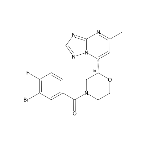 Cc1cc([C@H]2CN(C(=O)c3ccc(F)c(Br)c3)CCO2)n2ncnc2n1